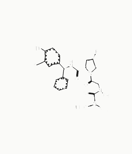 CC(C)c1ccc([C@@H](NC(=O)[C@@H]2C[C@@H](F)CN2C(=O)CN(C)C(=O)N(C)C)c2ccccc2)cc1F